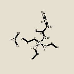 CCC[Si](OCC)(OCC)OC(C)N=C=O.COC